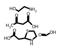 CC(=O)CC(=O)O.NCCO.O=C(O)CC1NCCS1.O=CO